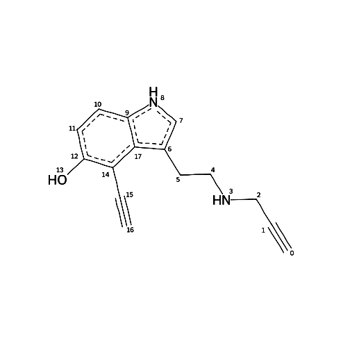 C#CCNCCc1c[nH]c2ccc(O)c(C#C)c12